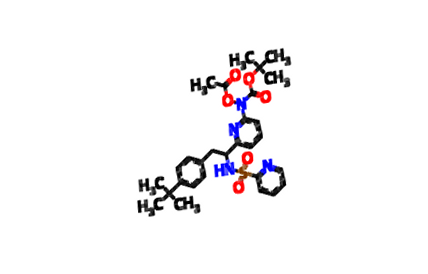 CC(=O)ON(C(=O)OC(C)(C)C)c1cccc(C(Cc2ccc(C(C)(C)C)cc2)NS(=O)(=O)c2ccccn2)n1